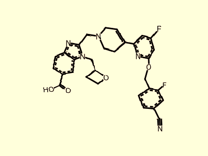 N#Cc1ccc(COc2cc(F)cc(C3=CCN(Cc4nc5ccc(C(=O)O)cc5n4C[C@@H]4CCO4)CC3)n2)c(F)c1